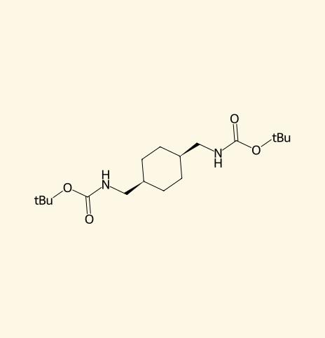 CC(C)(C)OC(=O)NC[C@H]1CC[C@@H](CNC(=O)OC(C)(C)C)CC1